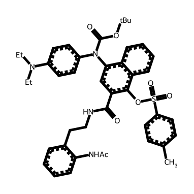 CCN(CC)c1ccc(N(C(=O)OC(C)(C)C)c2cc(C(=O)NCCc3ccccc3NC(C)=O)c(OS(=O)(=O)c3ccc(C)cc3)c3ccccc23)cc1